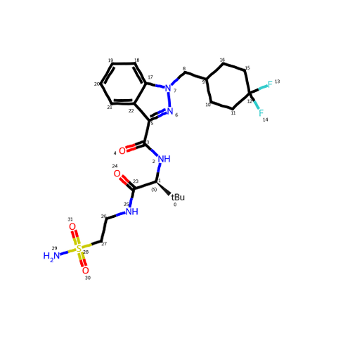 CC(C)(C)[C@H](NC(=O)c1nn(CC2CCC(F)(F)CC2)c2ccccc12)C(=O)NCCS(N)(=O)=O